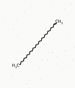 CC=CCCCCCCCCCCCCCCCCCCCCCCCC